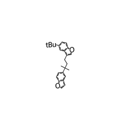 CC(C)(C)c1ccc2occ(CCC(C)(C)c3ccc4occc4c3)c2c1